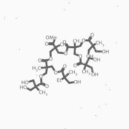 CCC(C)(CO)C(=O)OCC(C)(COC(=O)C(C)(CO)CO)C(=O)OCC(C)(COC(=O)C(C)(COC(=O)C(C)(CO)CO)COC(=O)C(C)(CO)CO)C(=O)OC